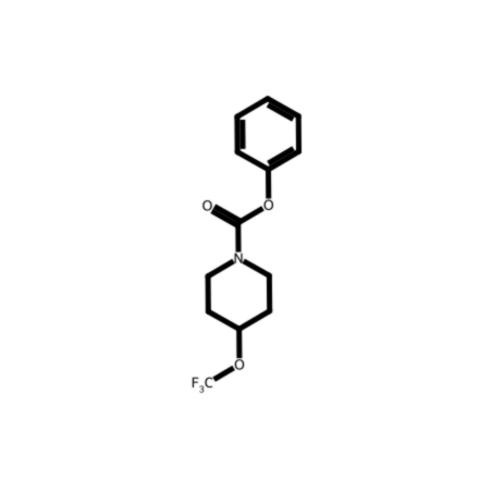 O=C(Oc1ccccc1)N1CCC(OC(F)(F)F)CC1